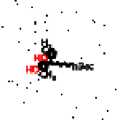 CCCCCCCCCCCCCCCCC(c1ccc(O)c(C)c1)c1cccc(C)c1O